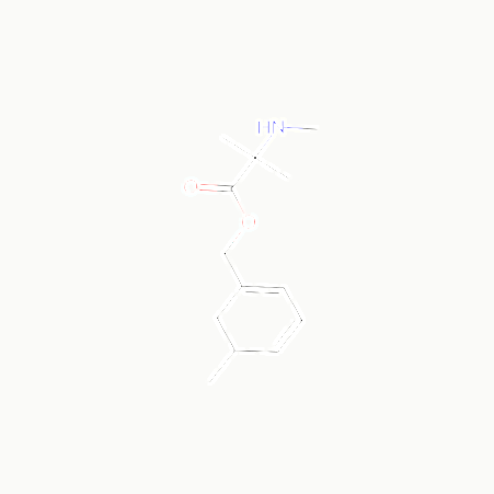 CNC(C)(C)C(=O)OCC1=CC=CC(C)C1